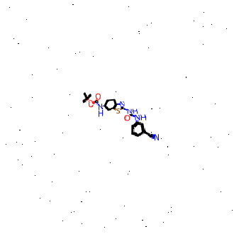 CC(C)(C)OC(=O)N[C@@H]1CCc2nc(NC(=O)Nc3cccc(C#N)c3)sc2C1